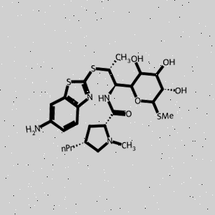 CCC[C@@H]1C[C@H](C(=O)N[C@H](C2OC(SC)[C@@H](O)C(O)C2O)[C@@H](C)Sc2nc3ccc(N)cc3s2)N(C)C1